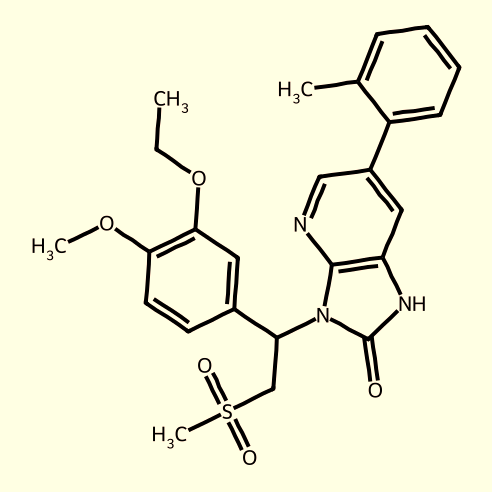 CCOc1cc(C(CS(C)(=O)=O)n2c(=O)[nH]c3cc(-c4ccccc4C)cnc32)ccc1OC